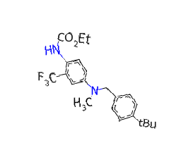 CCOC(=O)Nc1ccc(N(C)Cc2ccc(C(C)(C)C)cc2)cc1C(F)(F)F